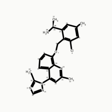 Cc1cc(Cl)c(COc2cccc3c(-n4ncnc4C)cc(C)nc23)c([C@H](C)N)c1